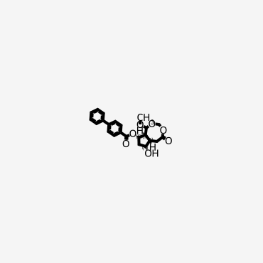 COC1OCOC(=O)C[C@H]2[C@H]1[C@@H](OC(=O)c1ccc(-c3ccccc3)cc1)C[C@H]2O